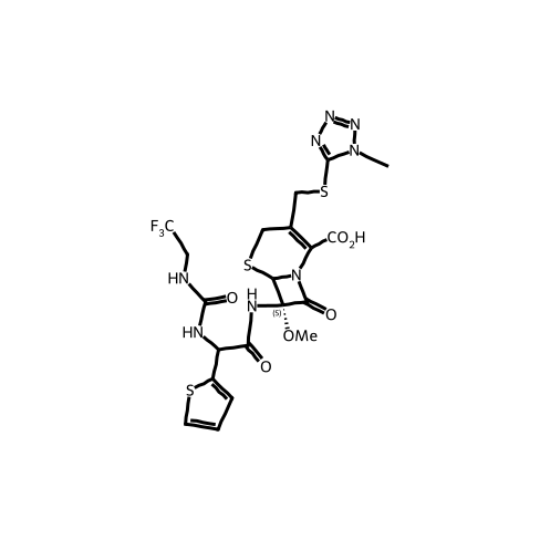 CO[C@@]1(NC(=O)C(NC(=O)NCC(F)(F)F)c2cccs2)C(=O)N2C(C(=O)O)=C(CSc3nnnn3C)CSC21